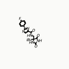 CCC(C)C1(CNC(=O)c2cnn(-c3ccc(F)cc3)n2)NC(=O)NC1=O